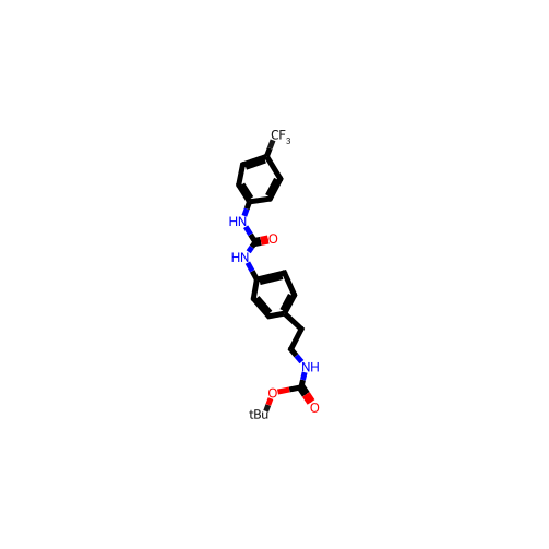 CC(C)(C)OC(=O)NCCc1ccc(NC(=O)Nc2ccc(C(F)(F)F)cc2)cc1